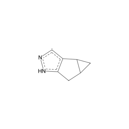 [c]1n[nH]c2c1C1CC1C2